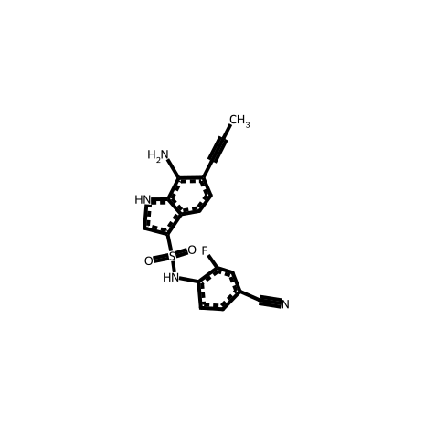 CC#Cc1ccc2c(S(=O)(=O)Nc3ccc(C#N)cc3F)c[nH]c2c1N